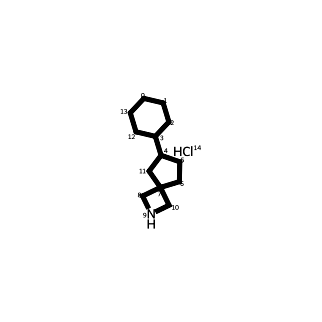 C1CCC(C2CCC3(CNC3)C2)CC1.Cl